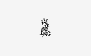 CN[C@@H](C)C(=O)N[C@H](C(=O)N1CCC[C@H]1c1cncc(-n2ccc3cccnc32)c1)C1CCCCC1